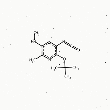 CNc1cc(N=C=O)c(OC(C)(C)C)nc1C